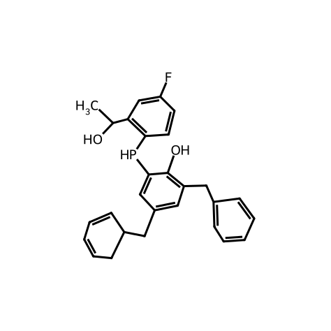 CC(O)c1cc(F)ccc1Pc1cc(CC2C=CC=CC2)cc(Cc2ccccc2)c1O